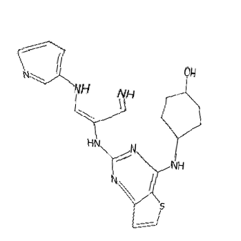 N=C/C(=C\Nc1cccnc1)Nc1nc(NC2CCC(O)CC2)c2sccc2n1